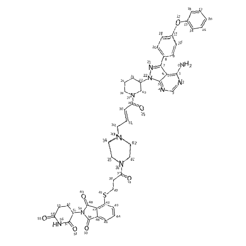 Nc1ncnc2c1c(-c1ccc(Oc3ccccc3)cc1)nn2C1CCCN(C(=O)/C=C/CN2CCN(C(=O)CCSc3cccc4c3C(=O)N(C3CCC(=O)NC3=O)C4=O)CC2)C1